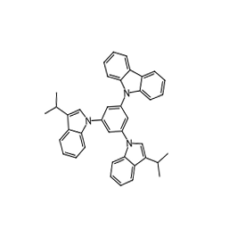 CC(C)c1cn(-c2cc(-n3cc(C(C)C)c4ccccc43)cc(-n3c4ccccc4c4ccccc43)c2)c2ccccc12